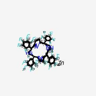 Fc1c(F)c(F)c(-c2c3nc(c(-c4c(F)c(F)c(F)c(F)c4F)c4ccc([nH]4)c(-c4c(F)c(F)c(F)c(F)c4F)c4nc(c(-c5c(F)c(F)c(F)c(F)c5F)c5ccc2[nH]5)C=C4)C=C3)c(F)c1F.[Zn]